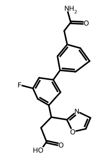 NC(=O)Cc1cccc(-c2cc(F)cc(C(CC(=O)O)c3ncco3)c2)c1